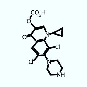 O=C(O)Oc1cn(C2CC2)c2c(Cl)c(N3CCNCC3)c(Cl)cc2c1=O